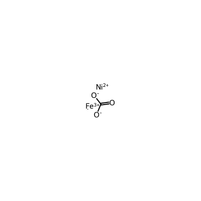 O=C([O-])[O-].[Fe+3].[Ni+2]